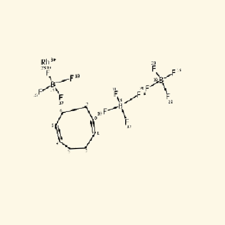 C1=CCCC=CCC1.F[B-](F)(F)F.F[B-](F)(F)F.F[B-](F)(F)F.[Rh+3]